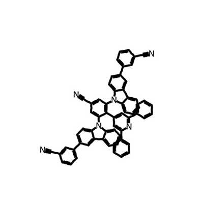 N#Cc1cccc(-c2ccc3c(c2)c2ccccc2n3-c2cc(C#N)cc(-n3c4ccccc4c4cc(-c5cccc(C#N)c5)ccc43)c2-c2cc(-c3ccccc3)nc(-c3ccccc3)c2)c1